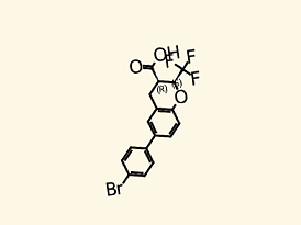 O=C(O)[C@@H]1Cc2cc(-c3ccc(Br)cc3)ccc2O[C@@H]1C(F)(F)F